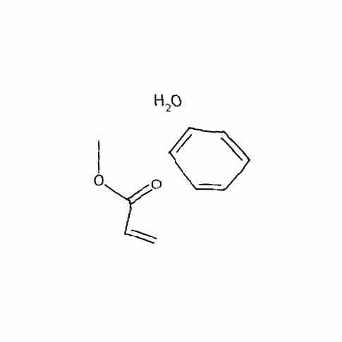 C=CC(=O)OC.O.c1ccccc1